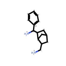 NCC1CC2CC1C(C(N)c1ccccc1)C2